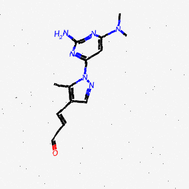 Cc1c(C=CC=O)cnn1-c1cc(N(C)C)nc(N)n1